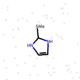 CSC1NC=CN1